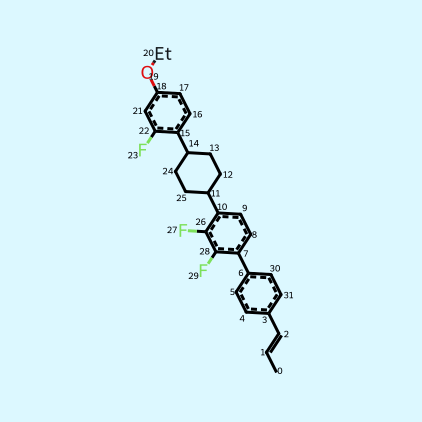 C/C=C/c1ccc(-c2ccc(C3CCC(c4ccc(OCC)cc4F)CC3)c(F)c2F)cc1